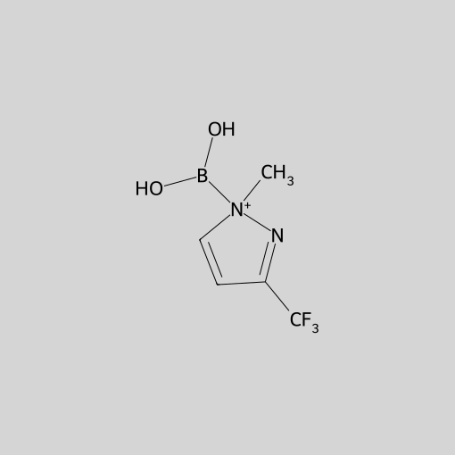 C[N+]1(B(O)O)C=CC(C(F)(F)F)=N1